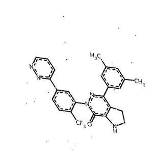 Cc1cc(C)cc(-c2nn(-c3cc(-c4cccnn4)ccc3C(F)(F)F)c(=O)c3c2CCN3)c1